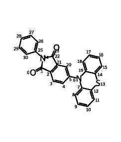 O=C1c2ccc(N3c4ccccc4Sc4ccccc43)cc2C(=O)N1c1ccccc1